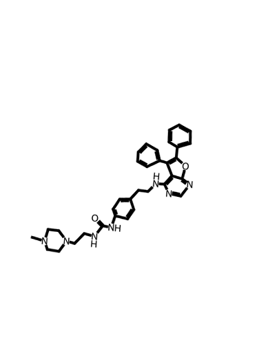 CN1CCN(CCNC(=O)Nc2ccc(CCNc3ncnc4oc(-c5ccccc5)c(-c5ccccc5)c34)cc2)CC1